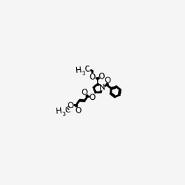 CCOC(=O)[C@@H]1C[C@@H](OC(=O)/C=C/C(=O)OC)CN1C(=O)c1ccccc1